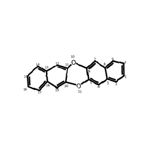 c1ccc2cc3c(cc2c1)Oc1cc2ccccc2cc1O3